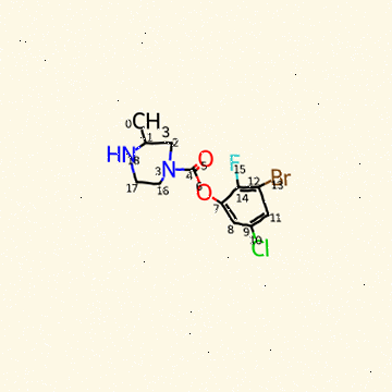 CC1CN(C(=O)Oc2cc(Cl)cc(Br)c2F)CCN1